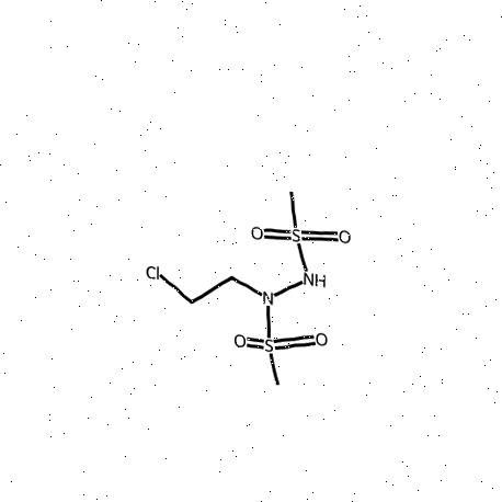 CS(=O)(=O)NN(CCCl)S(C)(=O)=O